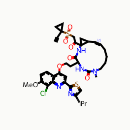 C#CC1(S(=O)(=O)CC(=O)C23CC2/C=C\CCCCN(C)C(=O)NC(CCOc2cc(-c4nc(C(C)C)cs4)nc4c(Cl)c(OC)ccc24)C(=O)N3)CC1